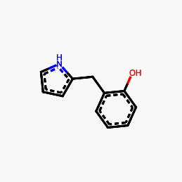 Oc1ccccc1Cc1ccc[nH]1